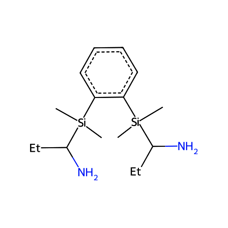 CCC(N)[Si](C)(C)c1ccccc1[Si](C)(C)C(N)CC